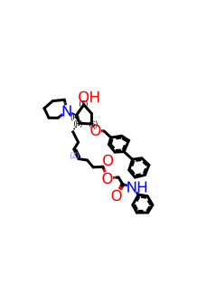 O=C(COC(=O)CC/C=C\CC[C@@H]1[C@@H](N2CCCCC2)[C@@H](O)C[C@@H]1OCc1ccc(-c2ccccc2)cc1)Nc1ccccc1